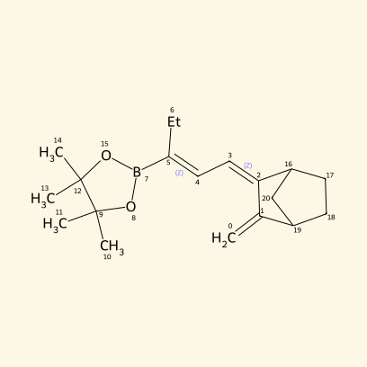 C=C1/C(=C\C=C(/CC)B2OC(C)(C)C(C)(C)O2)C2CCC1C2